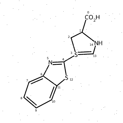 O=C(O)C1CS(c2nc3ccccc3s2)=CN1